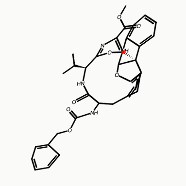 COC(=O)c1nc2oc1[C@@]13c4ccccc4NC1Oc1ccc(cc13)CC(NC(=O)OCc1ccccc1)C(=O)N[C@H]2C(C)C